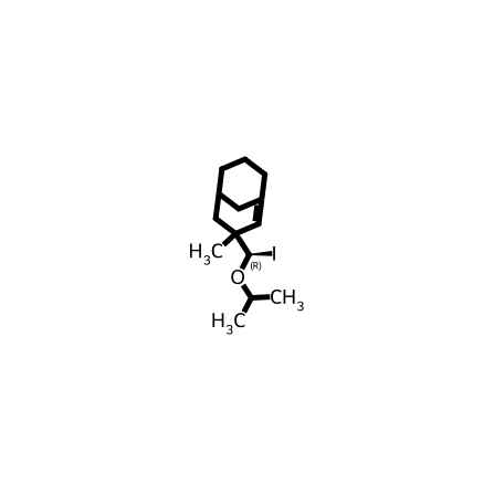 CC(C)O[C@H](I)C1(C)C=C2CCCC(C2)C1